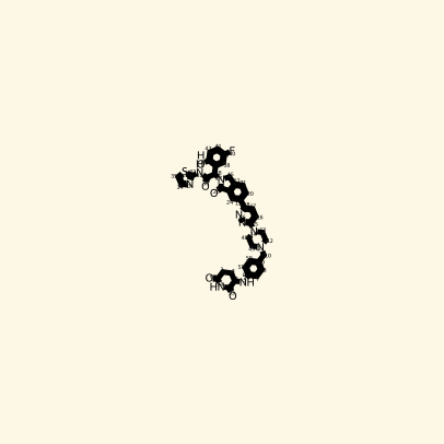 O=C1CCC(Nc2ccc(CN3CCN(c4ccc(-c5ccc6c(c5)C(=O)N(C(C(=O)Nc5nccs5)c5cc(F)ccc5O)C6)nn4)CC3)cc2)C(=O)N1